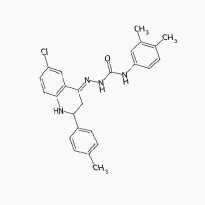 Cc1ccc(C2CC(=NNC(=O)Nc3ccc(C)c(C)c3)c3cc(Cl)ccc3N2)cc1